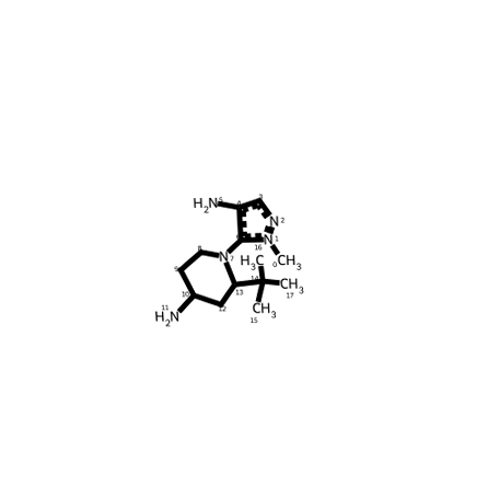 Cn1ncc(N)c1N1CCC(N)CC1C(C)(C)C